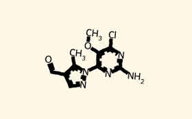 COc1c(Cl)nc(N)nc1-n1ncc(C=O)c1C